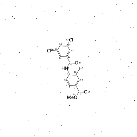 COC(=O)c1ccc(NC(=O)c2cc(Cl)cc(Cl)c2)c(I)c1